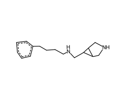 c1ccc(CCCCNCC2C3CNCC23)cc1